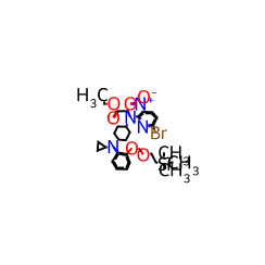 CCOC(=O)CN(c1nc(Br)ccc1[N+](=O)[O-])C1CCC(N(c2ccccc2OCOCC[Si](C)(C)C)C2CC2)CC1